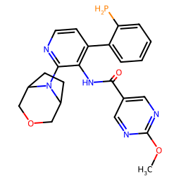 COc1ncc(C(=O)Nc2c(-c3ccccc3P)ccnc2N2C3CCC2COC3)cn1